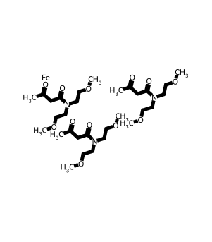 COCCN(CCOC)C(=O)CC(C)=O.COCCN(CCOC)C(=O)CC(C)=O.COCCN(CCOC)C(=O)CC(C)=O.[Fe]